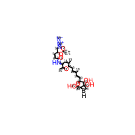 CCC(=O)OC(/C=C\C(=O)NC1CC(C)C(C/C=C(C)/C=C/C2OC(C)(O)C3BCC3(O)C2O)OC1C)CN=[N+]=[N-]